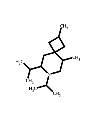 CC1CC2(C1)CC(C(C)C)N(C(C)C)CC2C